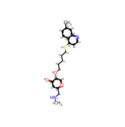 CNCc1cc(=O)c(OCCCCCSc2ccnc3cc(C)ccc23)co1